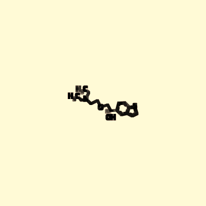 CCN(CC)CCOC[C@@H](O)c1ccc2sccc2c1